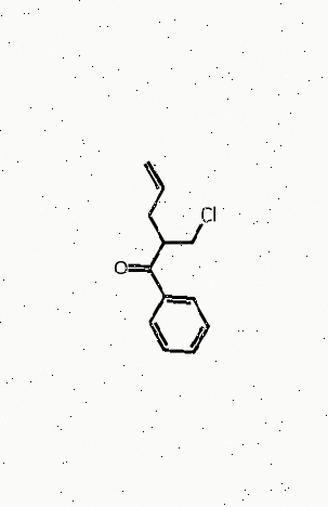 C=CCC(CCl)C(=O)c1ccccc1